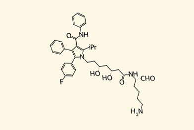 CC(C)c1c(C(=O)Nc2ccccc2)c(-c2ccccc2)c(-c2ccc(F)cc2)n1CC[C@@H](O)C[C@@H](O)CC(=O)N[C@H](C=O)CCCCN